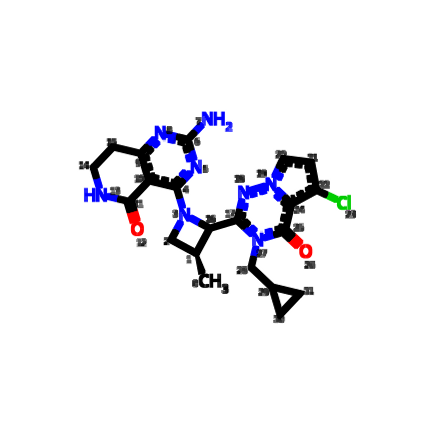 C[C@H]1CN(c2nc(N)nc3c2C(=O)NCC3)C1c1nn2ccc(Cl)c2c(=O)n1CC1CC1